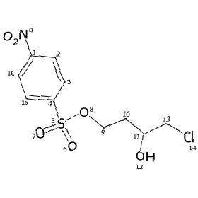 O=[N+]([O-])c1ccc(S(=O)(=O)OCCC(O)CCl)cc1